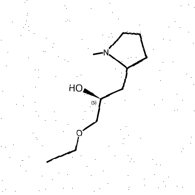 CCOC[C@@H](O)CC1CCCN1C